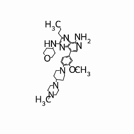 CCCc1nc2c(N)ncc(-c3ccc(N4CCC(N5CCN(C)CC5)CC4)c(OC)c3)c2nc1NC1CCOCC1